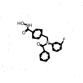 O=C(NO)c1ccc(CN(C(=O)c2ccccc2)c2cccc(F)c2)cc1